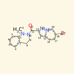 CN1c2ccccc2CCN1C(=O)c1cc2ccc(Br)cn2n1